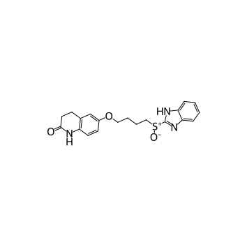 O=C1CCc2cc(OCCCC[S+]([O-])c3nc4ccccc4[nH]3)ccc2N1